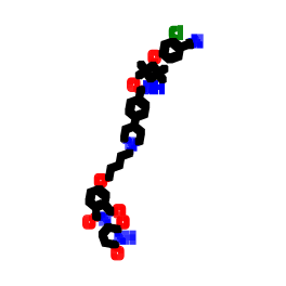 CC1(C)[C@H](NC(=O)c2ccc(C3CCN(CCCCCOc4ccc5c(c4)C(=O)N(C4CCC(=O)NC4=O)C5=O)CC3)cc2)C(C)(C)[C@H]1Oc1ccc(C#N)c(Cl)c1